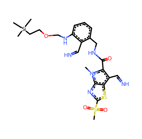 Cn1c(C(=O)NCc2cccc(NCOCC[Si](C)(C)C)c2C=N)c(C=N)c2sc(S(C)(=O)=O)nc21